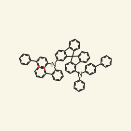 c1ccc(-c2ccc(N(c3ccc4c(c3)C3(c5ccccc5-4)c4ccccc4-c4c(N(c5ccccc5)c5ccc(-c6ccccc6)cc5)cccc43)c3ccccc3-c3ccccc3)cc2)cc1